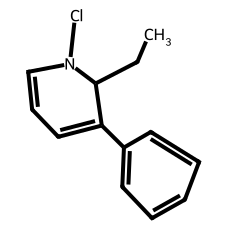 CCC1C(c2ccccc2)=CC=CN1Cl